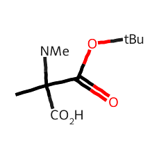 CNC(C)(C(=O)O)C(=O)OC(C)(C)C